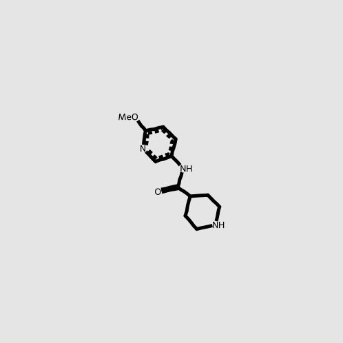 COc1ccc(NC(=O)C2CCNCC2)cn1